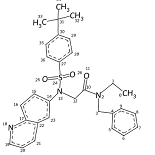 CCN(Cc1ccccc1)C(=O)CN(c1ccc2ncccc2c1)S(=O)(=O)c1ccc(C(C)(C)C)cc1